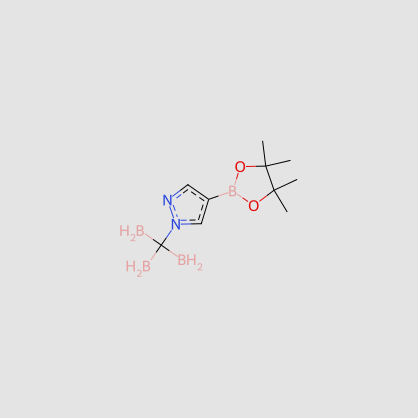 BC(B)(B)n1cc(B2OC(C)(C)C(C)(C)O2)cn1